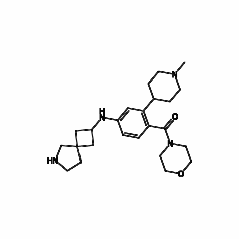 CN1CCC(c2cc(NC3CC4(CCNC4)C3)ccc2C(=O)N2CCOCC2)CC1